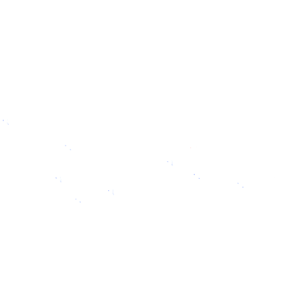 O=C(NCCN1CCC(F)(F)CC1)N1CC=C(c2cc3c(Nc4ccc5ncsc5c4)ncnc3[nH]2)CC1